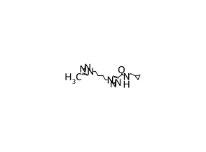 Cc1cn(CCCCn2cc(C(=O)NCC3CC3)nn2)nn1